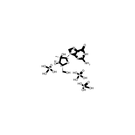 C[C@@]1(O)[C@H](O)[C@@H](CO)O[C@H]1n1cnc2c(=O)[nH]c(N)nc21.O=P(O)(O)O.O=P(O)(O)O.O=P(O)(O)O